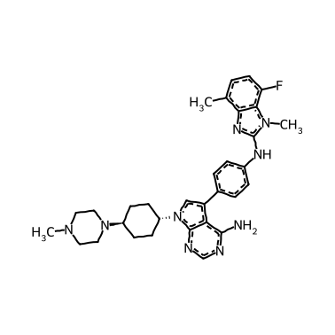 Cc1ccc(F)c2c1nc(Nc1ccc(-c3cn([C@H]4CC[C@H](N5CCN(C)CC5)CC4)c4ncnc(N)c34)cc1)n2C